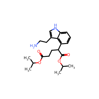 CC(C)OC(=O)CCC(C(=O)OC(C)C)c1cccc2[nH]cc(CCN)c12